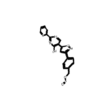 O=POCc1ccc(-c2cc(-c3cnc(-c4ccccn4)nc3O)on2)cc1